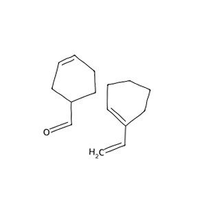 C=CC1=CCCCC1.O=CC1CC=CCC1